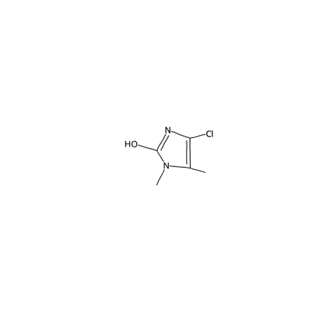 Cc1c(Cl)nc(O)n1C